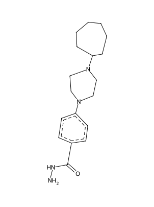 NNC(=O)c1ccc(N2CCN(C3CCCCCC3)CC2)cc1